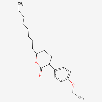 CCCCCCCCC1CCC(c2ccc(OCC)cc2)C(=O)O1